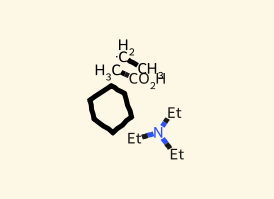 C1CCCCC1.CC(=O)O.CCN(CC)CC.[CH2]C